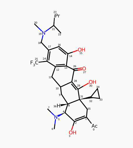 CC(=O)C1=C(O)[C@@H](N(C)C)[C@@H]2CC3Cc4c(c(O)cc(CN(C)C(C)C(C)C)c4C(F)(F)F)C(=O)C3=C(O)[C@]2(C2CC2)C1